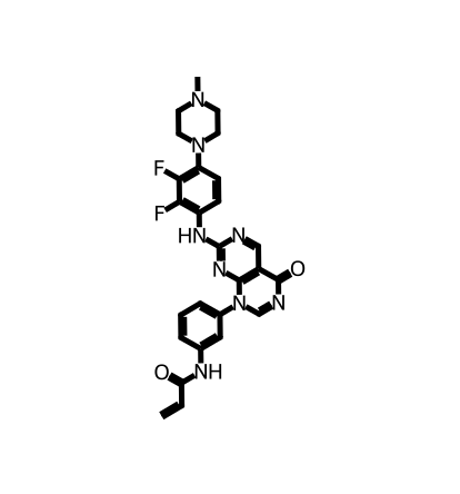 C=CC(=O)Nc1cccc(-n2cnc(=O)c3cnc(Nc4ccc(N5CCN(C)CC5)c(F)c4F)nc32)c1